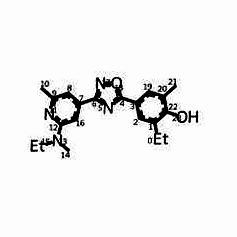 CCc1cc(-c2nc(-c3cc(C)nc(N(C)CC)c3)no2)cc(C)c1O